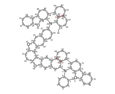 Cc1ccccc1N(c1ccc2cc3c(cc2c1)oc1ccc2oc4cc5cc(N(c6ccccc6C)c6c(-c7ccccc7)ccc7c6oc6ccccc67)ccc5cc4c2c13)c1c(-c2ccccc2)ccc2c1oc1ccccc12